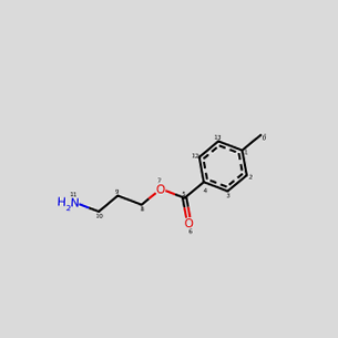 [CH2]c1ccc(C(=O)OCCCN)cc1